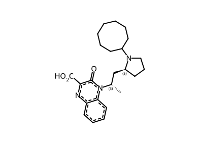 C[C@@H](C[C@@H]1CCCN1C1CCCCCCC1)n1c(=O)c(C(=O)O)nc2ccccc21